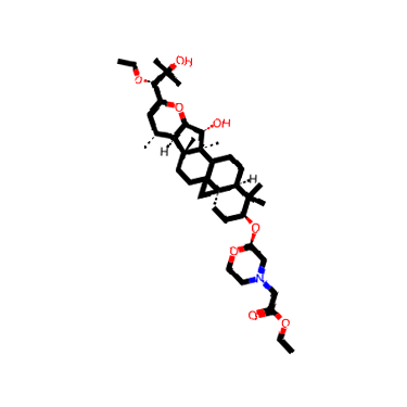 CCOC(=O)CN1CCO[C@@H](O[C@H]2CC[C@]34CC35CC[C@]3(C)[C@@H]6C(OC([C@H](OCC)C(C)(C)O)C[C@H]6C)[C@H](O)[C@@]3(C)C5CC[C@H]4C2(C)C)C1